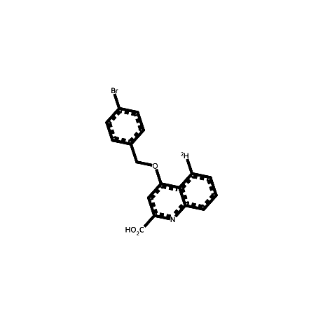 [2H]c1cccc2nc(C(=O)O)cc(OCc3ccc(Br)cc3)c12